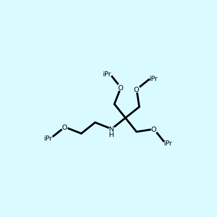 CC(C)OCCNC(COC(C)C)(COC(C)C)COC(C)C